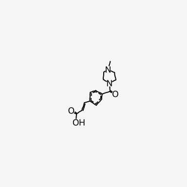 CN1CCN(C(=O)c2ccc(/C=C/C(=O)O)cc2)CC1